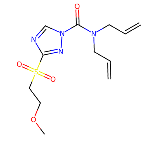 C=CCN(CC=C)C(=O)n1cnc(S(=O)(=O)CCOC)n1